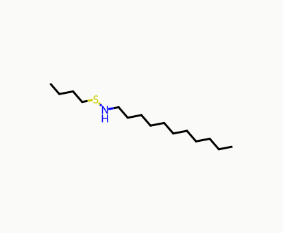 CCCCCCCCCCCNSCCCC